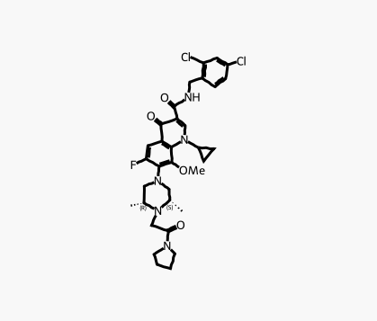 COc1c(N2C[C@@H](C)N(CC(=O)N3CCCC3)[C@@H](C)C2)c(F)cc2c(=O)c(C(=O)NCc3ccc(Cl)cc3Cl)cn(C3CC3)c12